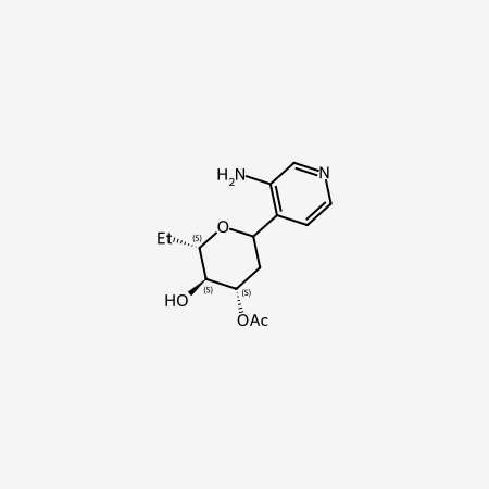 CC[C@@H]1OC(c2ccncc2N)C[C@H](OC(C)=O)[C@H]1O